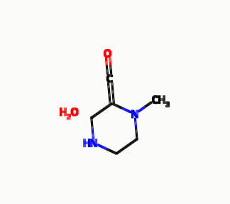 CN1CCNCC1=C=O.O